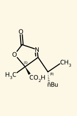 CCCC[C@@H](C)C1=NC(=O)O[C@]1(C)C(=O)O